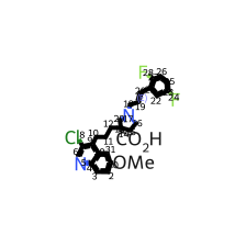 COc1ccc2ncc(Cl)c(CCCC3(C(=O)O)CCN(C/C=C/c4cc(F)ccc4F)C3)c2c1